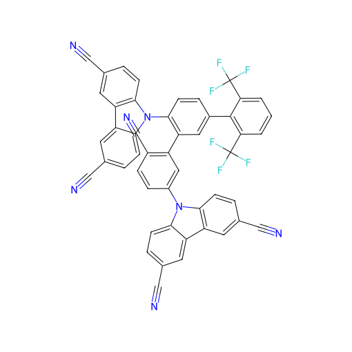 N#Cc1ccc2c(c1)c1cc(C#N)ccc1n2-c1ccc(C#N)c(-c2cc(-c3c(C(F)(F)F)cccc3C(F)(F)F)ccc2-n2c3ccc(C#N)cc3c3cc(C#N)ccc32)c1